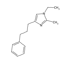 CCn1cc(CCCc2ccccc2)nc1C